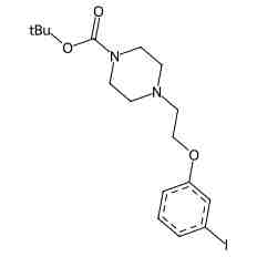 CC(C)(C)OC(=O)N1CCN(CCOc2cccc(I)c2)CC1